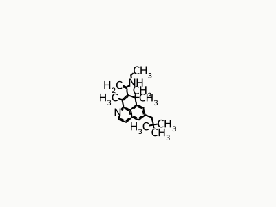 C=C(NCC)C1=C(C)c2nccc3cc(CC(C)(C)C)cc(c23)C1(C)C